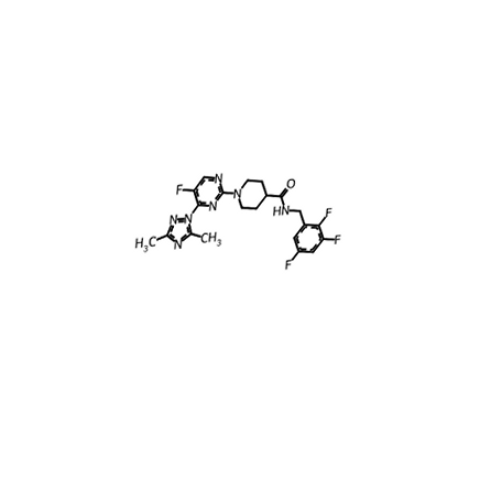 Cc1nc(C)n(-c2nc(N3CCC(C(=O)NCc4cc(F)cc(F)c4F)CC3)ncc2F)n1